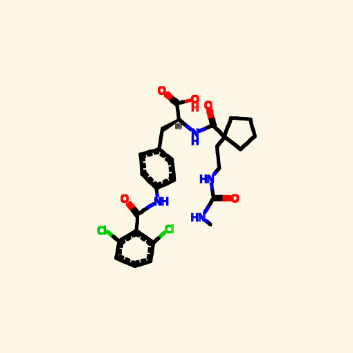 CNC(=O)NCCC1(C(=O)N[C@@H](Cc2ccc(NC(=O)c3c(Cl)cccc3Cl)cc2)C(=O)O)CCCC1